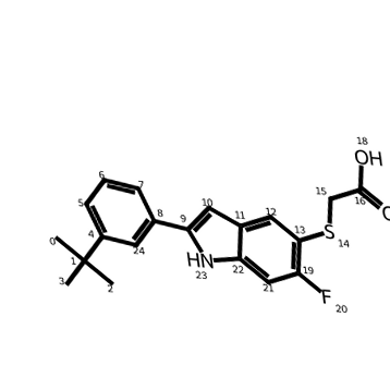 CC(C)(C)c1cccc(-c2cc3cc(SCC(=O)O)c(F)cc3[nH]2)c1